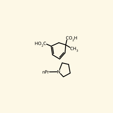 CC1(C(=O)O)C=CC=C(C(=O)O)C1.CCCN1CCCC1